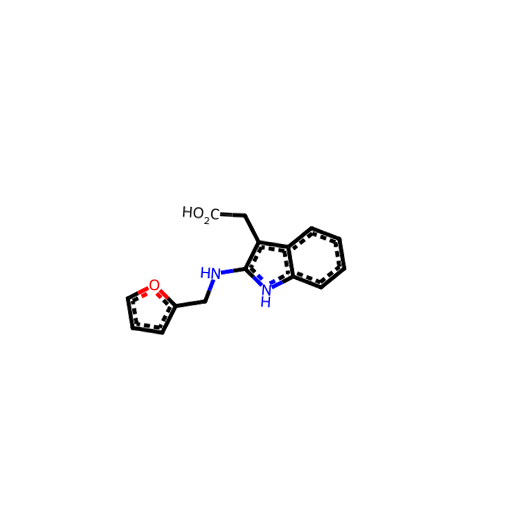 O=C(O)Cc1c(NCc2ccco2)[nH]c2ccccc12